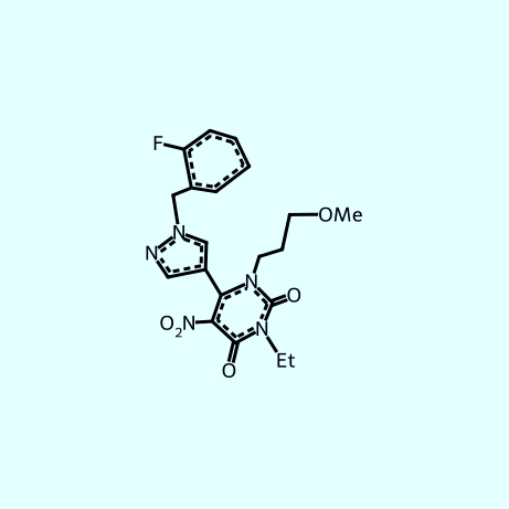 CCn1c(=O)c([N+](=O)[O-])c(-c2cnn(Cc3ccccc3F)c2)n(CCCOC)c1=O